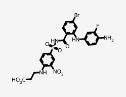 Nc1ccc(Nc2cc(Br)ccc2C(=O)NS(=O)(=O)c2ccc(NCCC(=O)O)c([N+](=O)[O-])c2)cc1F